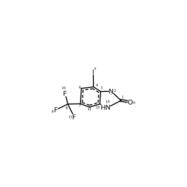 O=C1[N]c2c(I)cc(C(F)(F)F)cc2N1